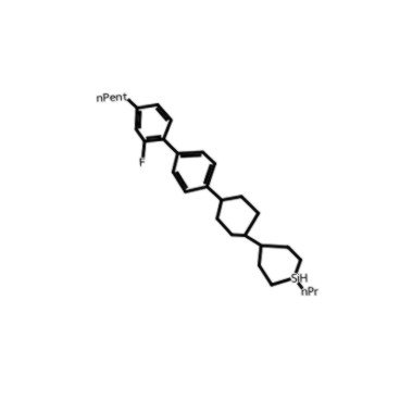 CCCCCc1ccc(-c2ccc(C3CCC(C4CC[SiH](CCC)CC4)CC3)cc2)c(F)c1